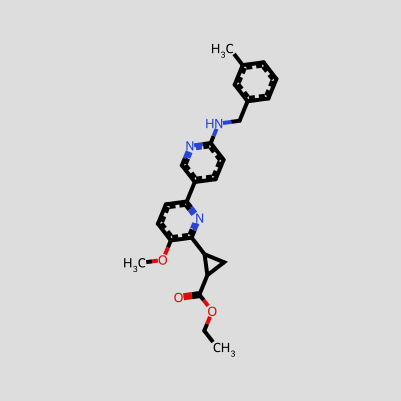 CCOC(=O)C1CC1c1nc(-c2ccc(NCc3cccc(C)c3)nc2)ccc1OC